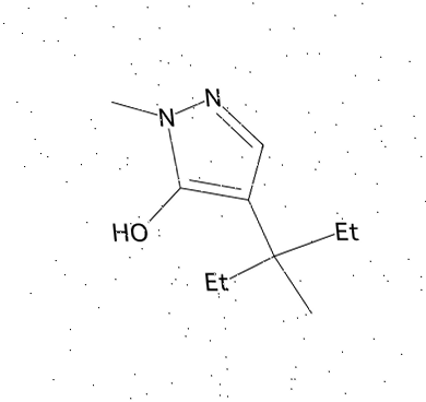 CCC(C)(CC)c1cnn(C)c1O